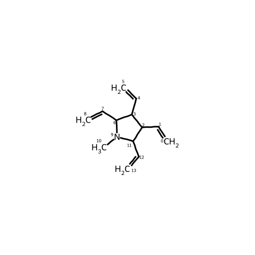 C=CC1C(C=C)C(C=C)N(C)C1C=C